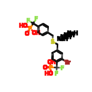 O=P(O)(O)C(F)(F)c1ccc(CSCc2ccc(C(F)(F)P(=O)(O)O)c(Br)c2)cc1.[NaH].[NaH].[NaH].[NaH]